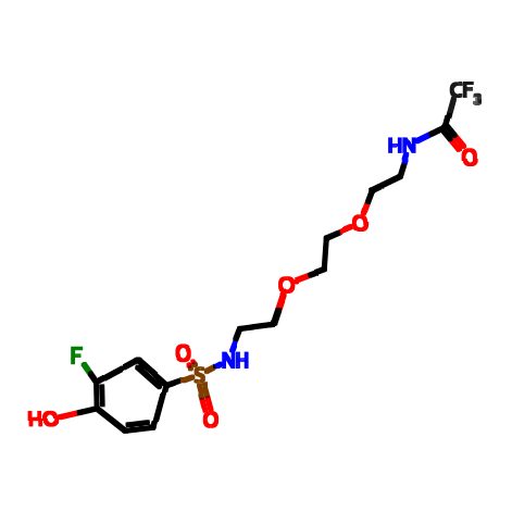 O=C(NCCOCCOCCNS(=O)(=O)c1ccc(O)c(F)c1)C(F)(F)F